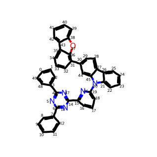 c1ccc(-c2nc(-c3ccccc3)nc(-c3cccc(-n4c5ccccc5c5ccc(-c6cccc7c6oc6ccccc67)cc54)n3)n2)cc1